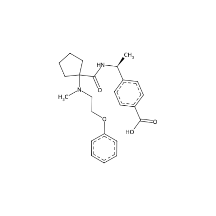 C[C@H](NC(=O)C1(N(C)CCOc2ccccc2)CCCC1)c1ccc(C(=O)O)cc1